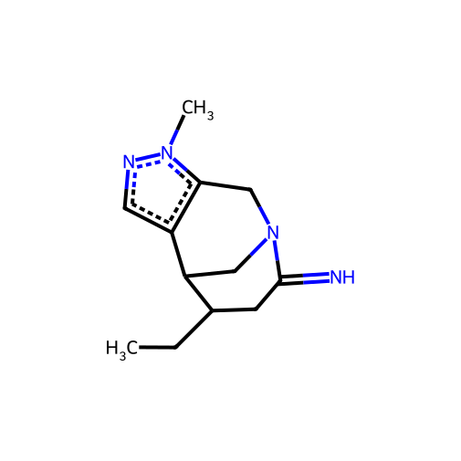 CCC1CC(=N)N2Cc3c(cnn3C)C1C2